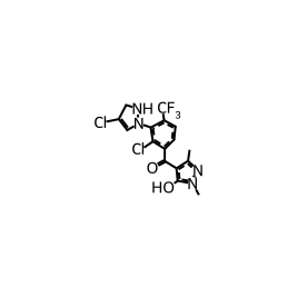 Cc1nn(C)c(O)c1C(=O)c1ccc(C(F)(F)F)c(N2C=C(Cl)CN2)c1Cl